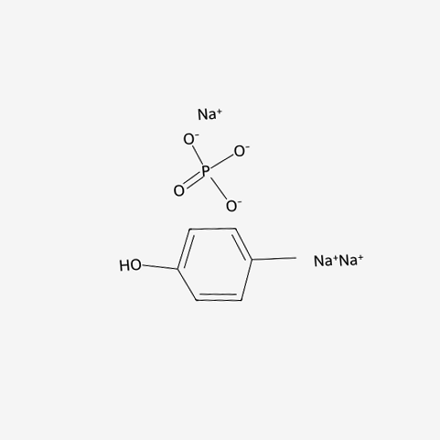 Cc1ccc(O)cc1.O=P([O-])([O-])[O-].[Na+].[Na+].[Na+]